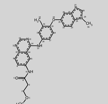 COCCC(=O)Nc1ccc2ncnc(Nc3ccc(Oc4ccc5c(c4)ncn5C)c(C)c3)c2c1